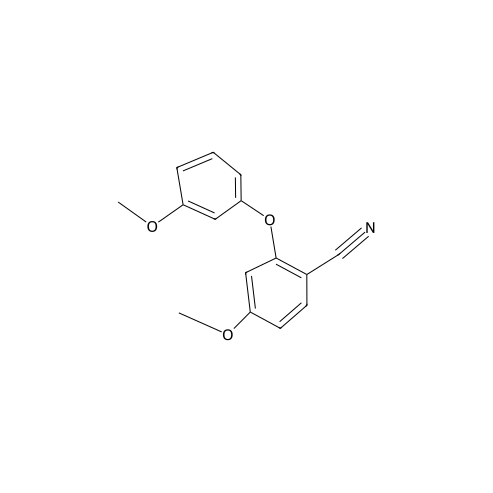 COc1cccc(Oc2cc(OC)ccc2C#N)c1